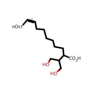 CCCCCCCC/C=C\CCCCCCC(C(=O)O)C(CO)CO